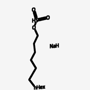 CCCCCCCCCCCCO[SH](=O)=O.[NaH]